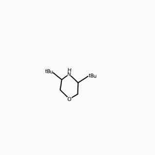 CC(C)(C)C1COCC(C(C)(C)C)N1